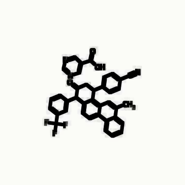 Cc1cc2c3c(ccc2c2ccccc12)C(c1cccc(C(F)(F)F)c1)C(=O)CC3c1ccc(C#N)cc1.O=C(O)c1cncnc1